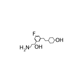 NCCC(O)c1cc(F)cc(CCC2CCC(O)CC2)c1